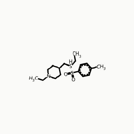 CCN1CCC(C[SH](CC)S(=O)(=O)c2ccc(C)cc2)CC1